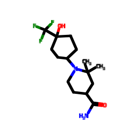 CC1(C)CC(C(N)=O)CCN1C1CCC(O)(C(F)(F)F)CC1